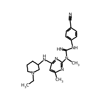 CCN1CCCC(Nc2cc(C)nc(N(C)C(=N)Nc3ccc(C#N)cc3)n2)C1